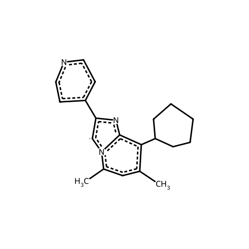 Cc1cc(C)n2[c]c(-c3ccncc3)nc2c1C1CCCCC1